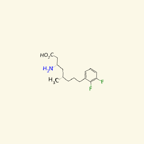 C[C@@H](CCCc1cccc(F)c1F)C[C@H](N)CC(=O)O